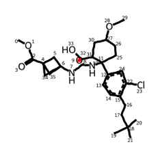 COC(=O)C12CC(NC(=O)NC3(c4ccc(CCC(C)(C)C)c(Cl)c4)CCC(OC)CC3CO)(C1)C2